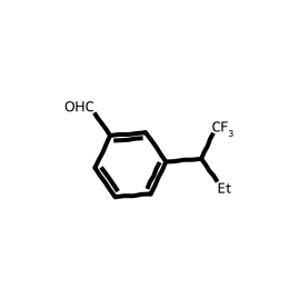 CCC(c1cccc(C=O)c1)C(F)(F)F